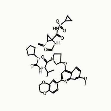 C=C[C@@H]1C[C@]1(NC(=O)[C@@H]1C[C@@H](Oc2cc(-c3ccc4c(c3)OCCO4)nc3cc(OC)ccc23)CN1C(=O)[C@@H](NC(=O)OC1CCCC1)C(C)C)C(=O)NS(=O)(=O)C1CC1